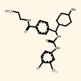 CC(C)(C)C1CCC(C(NC(=O)Nc2ccc(Cl)c(C(F)(F)F)c2)c2ccc(C(=O)NCCC(=O)O)cc2)CC1